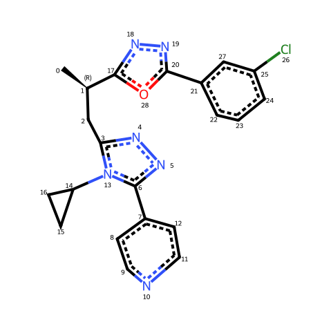 C[C@H](Cc1nnc(-c2ccncc2)n1C1CC1)c1nnc(-c2cccc(Cl)c2)o1